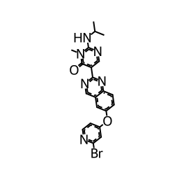 CC(C)Nc1ncc(-c2ncc3cc(Oc4ccnc(Br)c4)ccc3n2)c(=O)n1C